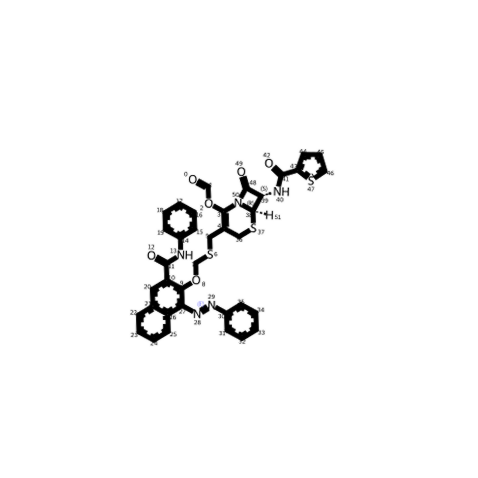 O=COC1=C(CSCOc2c(C(=O)Nc3ccccc3)cc3ccccc3c2/N=N/c2ccccc2)CS[C@@H]2[C@@H](NC(=O)c3cccs3)C(=O)N12